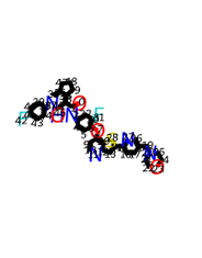 O=C(Nc1ccc(Oc2ccnc3cc(-c4ccc(CN5CCOCC5)cn4)sc23)c(F)c1)c1c2c(cn(-c3ccc(F)cc3)c1=O)CCC2